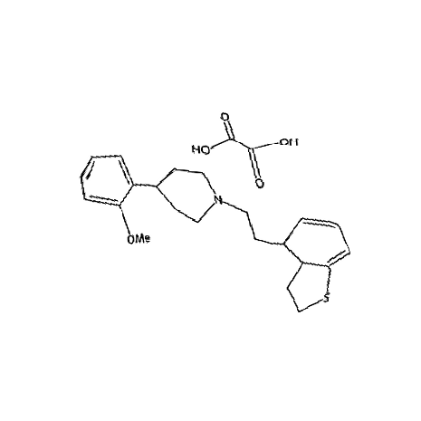 COc1ccccc1C1CCN(CCC2C=CC=C3SCCC32)CC1.O=C(O)C(=O)O